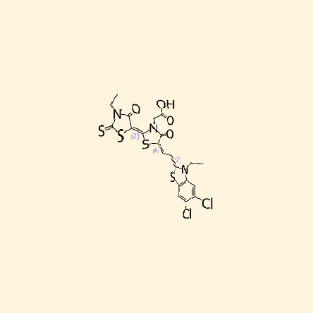 CCN1C(=O)/C(=c2/s/c(=C/C=C3\Sc4cc(Cl)c(Cl)cc4N3CC)c(=O)n2CC(=O)O)SC1=S